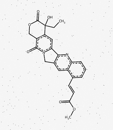 CCC1(O)C(=O)OCc2c1cc1n(c2=O)Cc2cc3c(/C=C/C(=O)OC)cccc3nc2-1